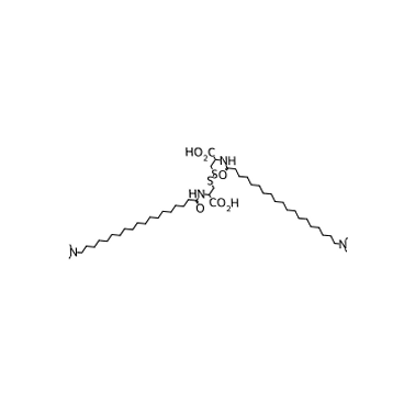 CN(C)CCCCCCCCCCCCCCCCCCC(=O)NC(CSSCC(NC(=O)CCCCCCCCCCCCCCCCCCN(C)C)C(=O)O)C(=O)O